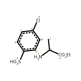 CCOC(=O)C(C)N.O=S(=O)(O)c1ccc(Cl)cc1